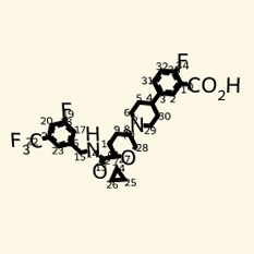 O=C(O)c1cc(C2CCN([C@@H]3CC[C@@](C(=O)NCc4cc(F)cc(C(F)(F)F)c4)(C4CC4)OC3)CC2)ccc1F